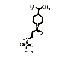 CC(C)C1CCN(C(=O)CCNS(C)(=O)=O)CC1